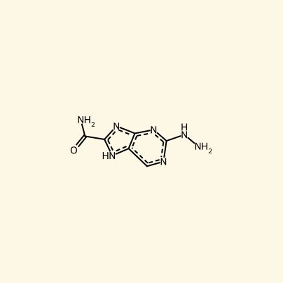 NNc1ncc2[nH]c(C(N)=O)nc2n1